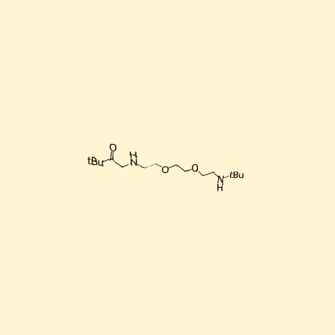 CC(C)(C)NCCOCCOCCNCC(=O)C(C)(C)C